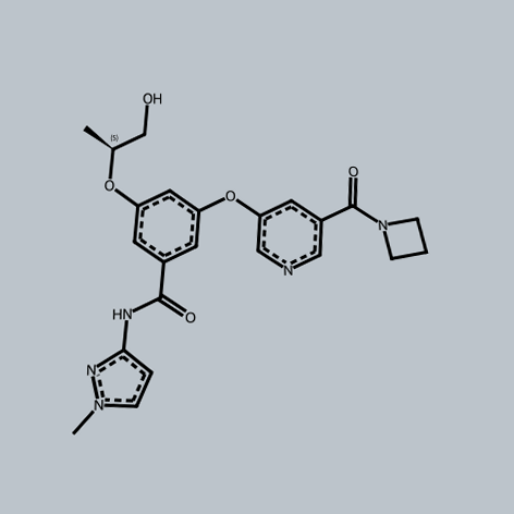 C[C@@H](CO)Oc1cc(Oc2cncc(C(=O)N3CCC3)c2)cc(C(=O)Nc2ccn(C)n2)c1